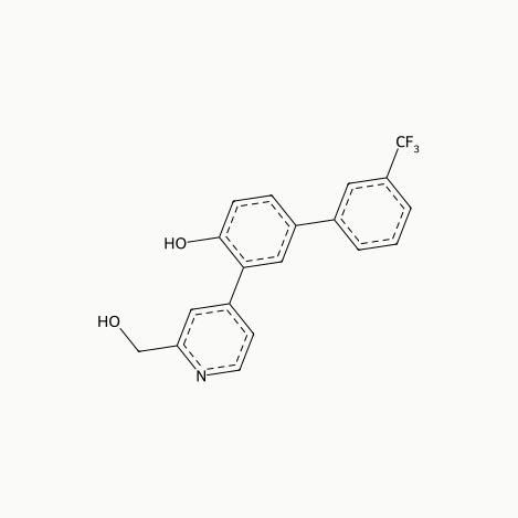 OCc1cc(-c2cc(-c3cccc(C(F)(F)F)c3)ccc2O)ccn1